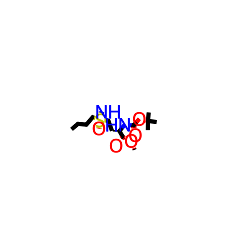 CCCCS(=N)(=O)CC[C@H](NC(=O)OC(C)(C)C)C(=O)OC